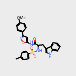 COc1ccc(-c2cc(NC(=O)C(Cc3c[nH]c4ccccc34)NS(=O)(=O)c3ccc(C)cc3)on2)cc1